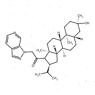 CC(C)[C@@H]1C[C@H]2[C@@H]3CC[C@H]4C[C@](C)(O)CC[C@]4(C)[C@H]3CC[C@]2(C)C1C(=O)Cn1ncc2ccncc21